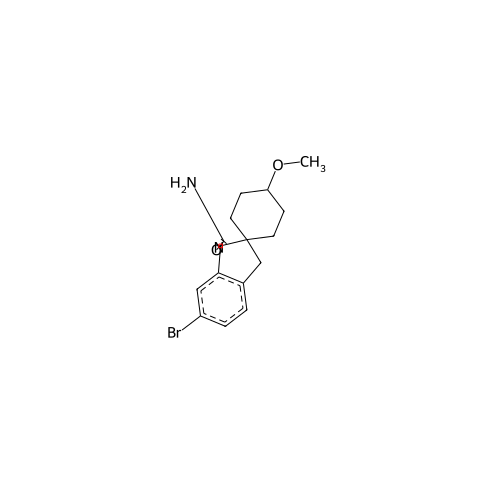 COC1CCC2(CC1)Cc1ccc(Br)cc1C21COC(N)=N1